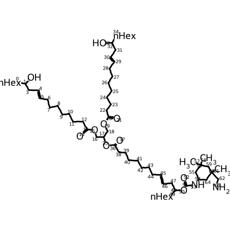 CCCCCCC(O)C/C=C/CCCCCCCC(=O)OCC(COC(=O)CCCCCCC/C=C/CC(O)CCCCCC)OC(=O)CCCCCCC/C=C/CC(CCCCCC)OC(=O)NC1CC(C)(C)CC(C)(CN)C1